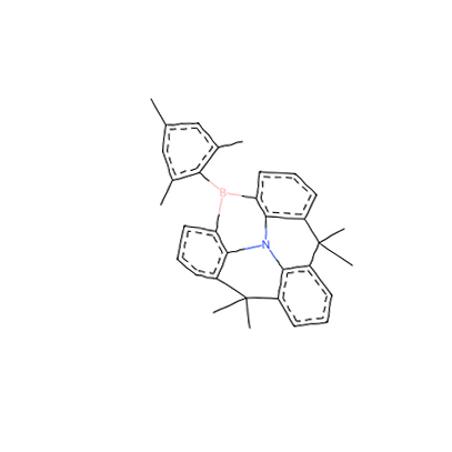 Cc1cc(C)c(B2c3cccc4c3N3c5c2cccc5C(C)(C)c2cccc(c23)C4(C)C)c(C)c1